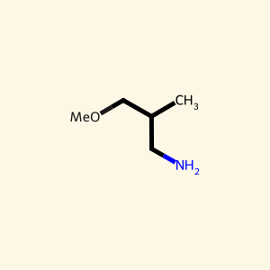 COCC(C)CN